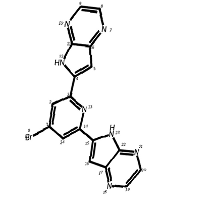 Brc1cc(-c2cc3nccnc3[nH]2)nc(-c2cc3nccnc3[nH]2)c1